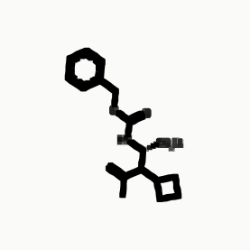 C=C(C)C(C1CCC1)[C@H](NC(=O)OCc1ccccc1)C(=O)OCC